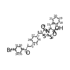 O=C(/C=C/c1ccc(/C=C2\SC(=S)N(C(Cc3ccccc3)C(=O)O)C2=O)cc1)c1ccc(Br)cc1